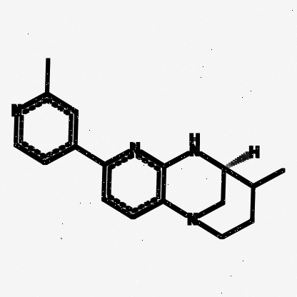 Cc1cc(-c2ccc3c(n2)N[C@@H]2CN3CCC2C)ccn1